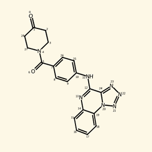 O=C1CCN(C(=O)c2ccc(Nc3nc4ccccc4n4nnnc34)cc2)CC1